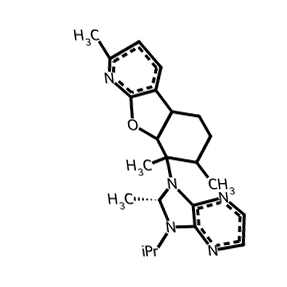 Cc1ccc2c(n1)OC1C2CCC(C)C1(C)N1c2nccnc2N(C(C)C)[C@@H]1C